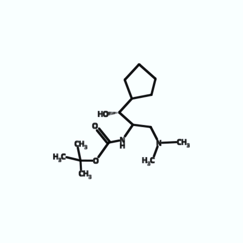 CN(C)CC(NC(=O)OC(C)(C)C)[C@H](O)C1CCCC1